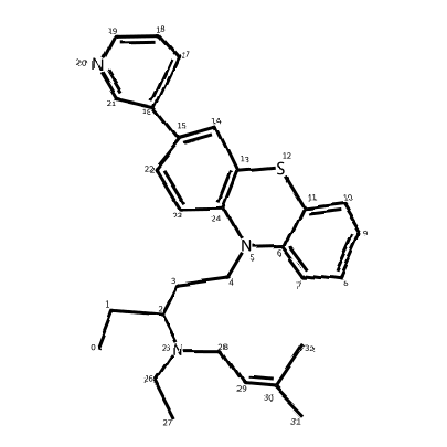 CCC(CCN1c2ccccc2Sc2cc(-c3cccnc3)ccc21)N(CC)CC=C(C)C